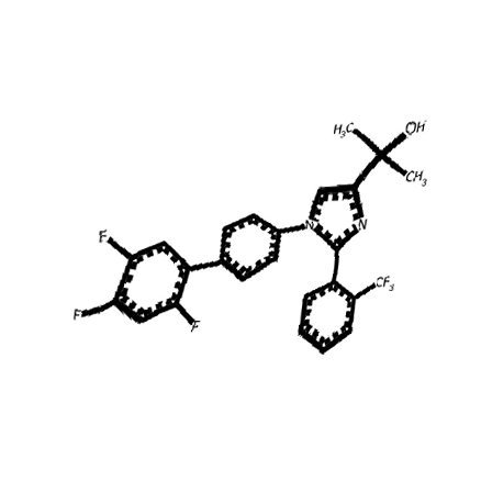 CC(C)(O)c1cn(-c2ccc(-c3cc(F)c(F)cc3F)cc2)c(-c2ccccc2C(F)(F)F)n1